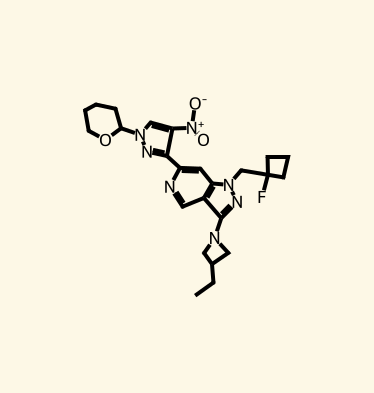 CCC1CN(c2nn(CC3(F)CCC3)c3cc(-c4nn(C5CCCCO5)cc4[N+](=O)[O-])ncc23)C1